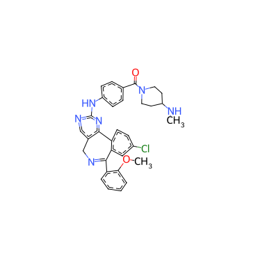 CNC1CCN(C(=O)c2ccc(Nc3ncc4c(n3)-c3ccc(Cl)cc3C(c3ccccc3OC)=NC4)cc2)CC1